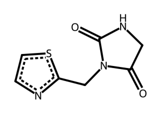 O=C1CNC(=O)N1Cc1nccs1